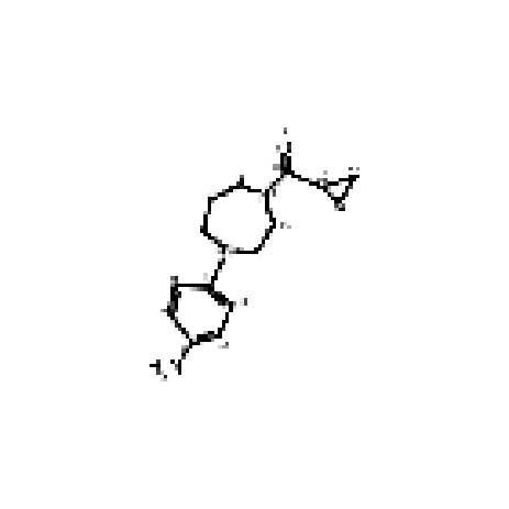 Nc1ccc(N2CCCN(C(=O)C3CC3)CC2)cc1